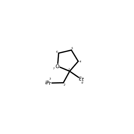 CCC1(CC(C)C)CCCO1